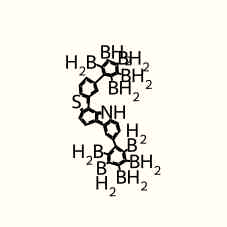 Bc1c(B)c(B)c(-c2ccc3[nH]c4c(ccc5sc6ccc(-c7c(B)c(B)c(B)c(B)c7B)cc6c54)c3c2)c(B)c1B